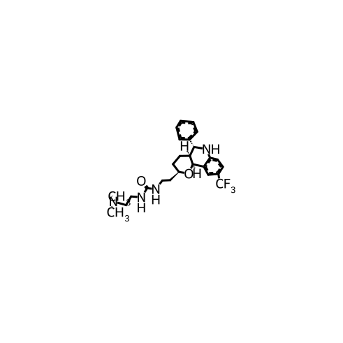 CN(C)CCNC(=O)NCC[C@H]1CC[C@@H]2[C@H](O1)c1cc(C(F)(F)F)ccc1N[C@H]2c1ccccc1